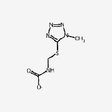 Cn1nnnc1SCNC([O])=O